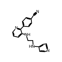 N#Cc1ccc(-c2ncccc2NCCNc2ccncc2)cc1